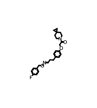 O=C(COc1ccc(CCC=NOCc2ccc(F)cc2)cc1)N1CCC2(CC1)CC2